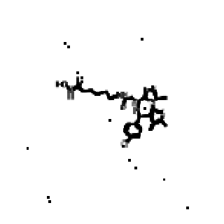 Cc1sc2c(c1C)C(c1ccc(Cl)cc1)=N[C@@H](CC(=O)NCCCCCC(=O)NO)c1nnc(C)n1-2